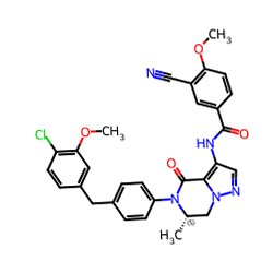 COc1cc(Cc2ccc(N3C(=O)c4c(NC(=O)c5ccc(OC)c(C#N)c5)cnn4C[C@@H]3C)cc2)ccc1Cl